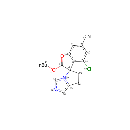 CCCCOC(=O)C1(c2ccc(C#N)cc2Cl)CCc2cncn21